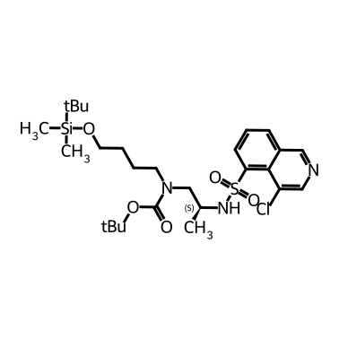 C[C@@H](CN(CCCCO[Si](C)(C)C(C)(C)C)C(=O)OC(C)(C)C)NS(=O)(=O)c1cccc2cncc(Cl)c12